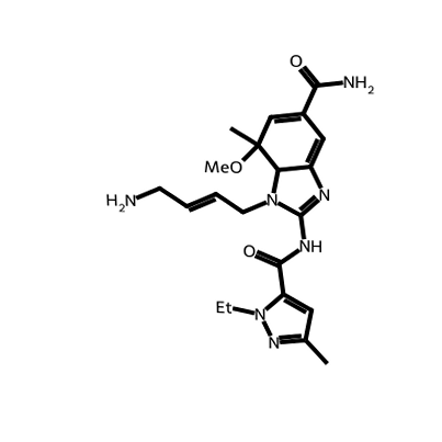 CCn1nc(C)cc1C(=O)NC1=NC2=CC(C(N)=O)=CC(C)(OC)C2N1C/C=C/CN